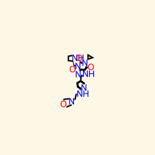 O=C([C@H]1CCCN1)n1c(=O)n(C2CC2)c(=O)c2[nH]c(-c3ccc(NCCN4CCOCC4)nc3)nc21